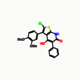 COc1ccc(-c2c(Cl)sc3[nH]c(=O)c(-c4ccccc4)c(O)c23)cc1OC